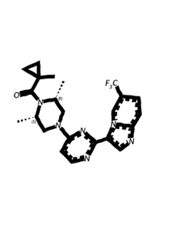 C[C@@H]1CN(c2ccnc(-c3cnc4ccc(C(F)(F)F)cn34)n2)C[C@H](C)N1C(=O)C1(C)CC1